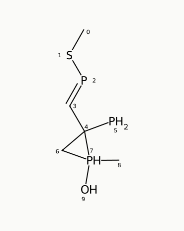 CSP=CC1(P)C[PH]1(C)O